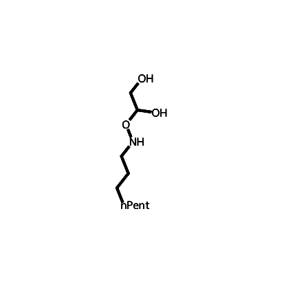 CCCCCCCCNOC(O)CO